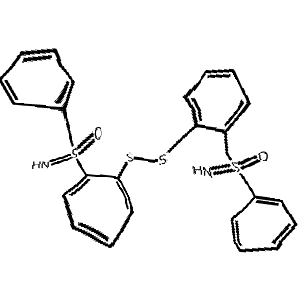 N=S(=O)(c1ccccc1)c1ccccc1SSc1ccccc1S(=N)(=O)c1ccccc1